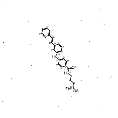 CCN(CC)CCCNC(=O)c1ccc(Nc2cccc(/C=C/c3ccccn3)c2)cc1